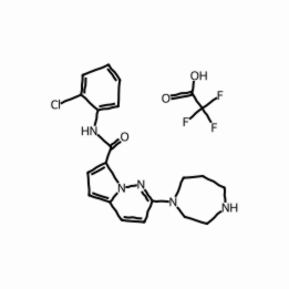 O=C(Nc1ccccc1Cl)c1ccc2ccc(N3CCCNCC3)nn12.O=C(O)C(F)(F)F